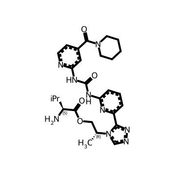 CC(C)[C@H](N)C(=O)OC[C@@H](C)n1cnnc1-c1cccc(NC(=O)Nc2cc(C(=O)N3CCCCC3)ccn2)n1